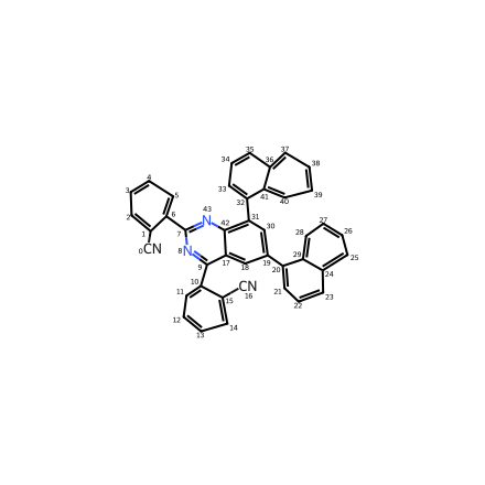 N#Cc1ccccc1-c1nc(-c2ccccc2C#N)c2cc(-c3cccc4ccccc34)cc(-c3cccc4ccccc34)c2n1